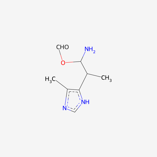 Cc1nc[nH]c1C(C)C(N)OC=O